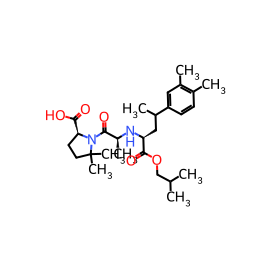 Cc1ccc(C(C)C[C@H](N[C@@H](C)C(=O)N2[C@H](C(=O)O)CCC2(C)C)C(=O)OCC(C)C)cc1C